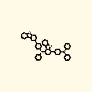 c1ccc(N(c2ccccc2)c2ccc(-c3ccc(N(c4ccccc4)c4ccc(-c5ccc6oc7ccccc7c6c5)cc4)c4c3oc3ccccc34)cc2)cc1